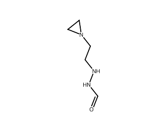 O=CNNCCN1CC1